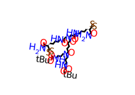 CC(C)(C)OC(=O)NCCCN(CCCNC(=O)OC(C)(C)C)C(=O)CCCC(=O)N(CC(=O)NCCCC[C@@H](C(N)=O)C1SS1)CC(=O)NCCCC[C@@H](C(N)=O)C1SS1